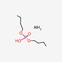 CCCCOP(=O)(O)OCCCC.[AlH3]